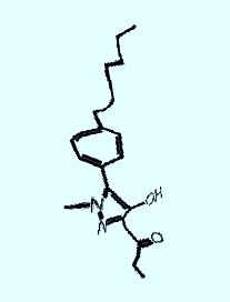 CCCCCCc1ccc(-c2c(O)c(C(=O)CC)nn2C)cc1